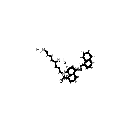 NCCCCC(N)CCCN1C(=O)c2cccc3c(NCc4cccc5ccccc45)ccc1c23